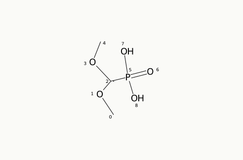 CO[C](OC)P(=O)(O)O